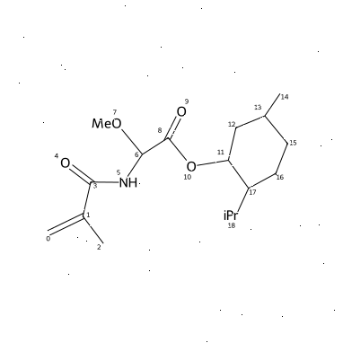 C=C(C)C(=O)NC(OC)C(=O)OC1CC(C)CCC1C(C)C